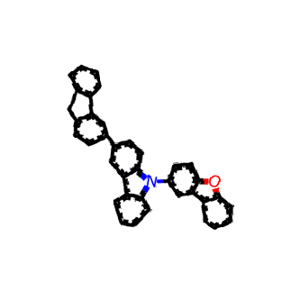 c1ccc2c(c1)Cc1ccc(-c3ccc4c(c3)c3ccccc3n4-c3ccc4oc5ccccc5c4c3)cc1-2